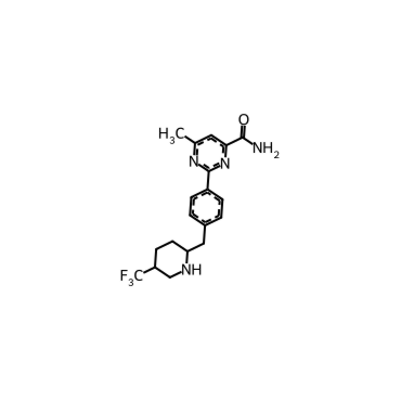 Cc1cc(C(N)=O)nc(-c2ccc(CC3CCC(C(F)(F)F)CN3)cc2)n1